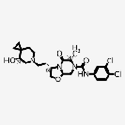 C[C@H]1C(=O)N2C(CN1C(=O)Nc1ccc(Cl)c(Cl)c1)OC[C@@H]2CCN1CCC2(CC2)[C@H](O)C1